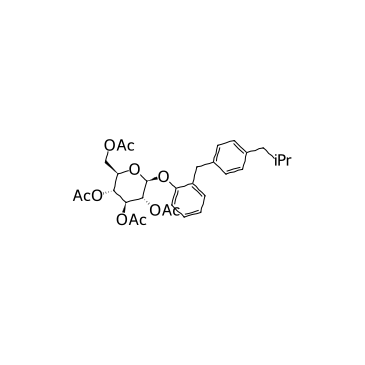 CC(=O)OC[C@H]1O[C@@H](Oc2ccccc2Cc2ccc(CC(C)C)cc2)[C@H](OC(C)=O)[C@@H](OC(C)=O)[C@@H]1OC(C)=O